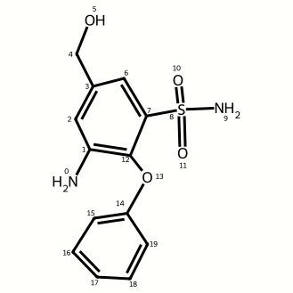 Nc1cc(CO)cc(S(N)(=O)=O)c1Oc1ccccc1